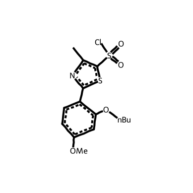 CCCCOc1cc(OC)ccc1-c1nc(C)c(S(=O)(=O)Cl)s1